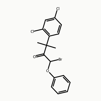 CC(C)(C(=O)C(Br)Oc1ccccc1)c1ccc(Cl)cc1Cl